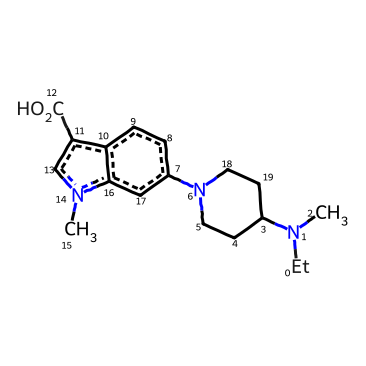 CCN(C)C1CCN(c2ccc3c(C(=O)O)cn(C)c3c2)CC1